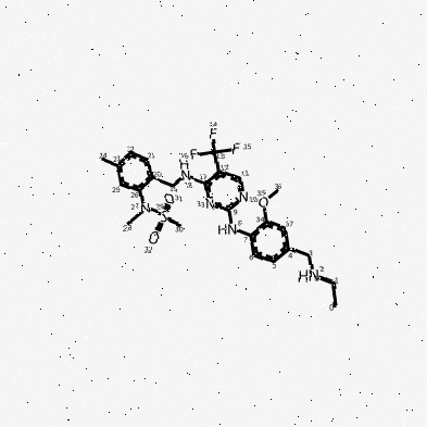 CCNCc1ccc(Nc2ncc(C(F)(F)F)c(NCc3ccc(C)cc3N(C)S(C)(=O)=O)n2)c(OC)c1